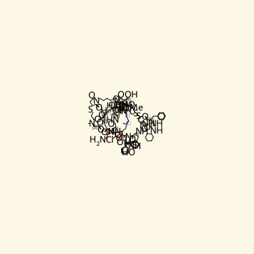 COc1cc2cc(c1Cl)N(C)C(=O)C[C@H](OC(=O)[C@H](C)N(C)C(=O)CCSC1CC(=O)N(CCCCCNC(=O)[C@@H](NC(=O)[C@@H]3CSSC[C@H](NC(=O)[C@@H](Cc4ccccc4)NC(=O)NC4CCCCC4)C(=O)N[C@@H](Cc4ccc(O)cc4)C(=O)N[C@H](Cc4c[nH]c5ccccc45)C(=O)N[C@@H](CCCCN)C(=O)N[C@@H]([C@@H](C)O)C(=O)N3)[C@@H](C)O)C1=O)[C@]1(C)O[C@H]1[C@H](C)[C@@H]1C[C@@](O)(NC(=O)O1)[C@H](OC)/C=C/C=C(\C)C2